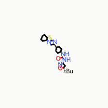 CC(C)(C)c1cc(NC(=O)Nc2ccc(-c3cn4c(n3)sc3ccccc34)cc2)no1